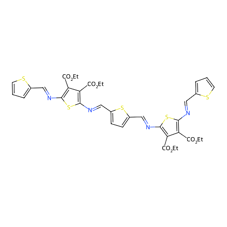 CCOC(=O)c1c(/N=C/c2cccs2)sc(/N=C/c2ccc(/C=N/c3sc(/N=C/c4cccs4)c(C(=O)OCC)c3C(=O)OCC)s2)c1C(=O)OCC